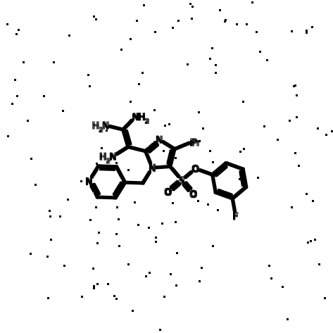 CC(C)c1nc(C(N)=C(N)N)n(Cc2ccncc2)c1S(=O)(=O)Oc1cccc(F)c1